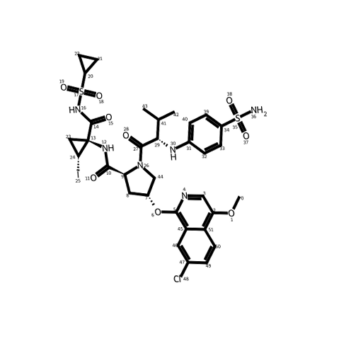 COc1cnc(O[C@@H]2C[C@@H](C(=O)N[C@]3(C(=O)NS(=O)(=O)C4CC4)C[C@H]3I)N(C(=O)[C@@H](Nc3ccc(S(N)(=O)=O)cc3)C(C)C)C2)c2cc(Cl)ccc12